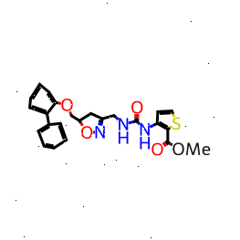 COC(=O)c1sccc1NC(=O)NCC1=NOC(COc2ccccc2-c2ccccc2)C1